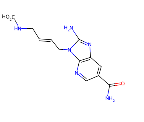 NC(=O)c1cnc2c(c1)nc(N)n2CC=CCNC(=O)O